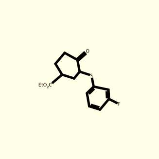 CCOC(=O)C1CCC(=O)C(Sc2cccc(F)c2)C1